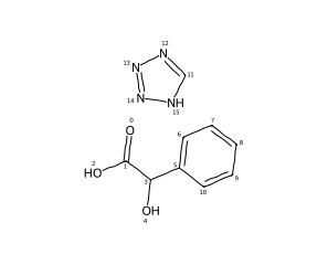 O=C(O)C(O)c1ccccc1.c1nnn[nH]1